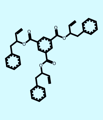 C=CC(Cc1ccccc1)OC(=O)c1cc(C(=O)OC(C=C)Cc2ccccc2)cc(C(=O)OC(C=C)Cc2ccccc2)c1